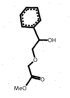 COC(=O)COCC(O)c1ccccc1